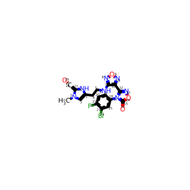 CN1C=C(CCNc2nonc2-c2noc(=O)n2-c2ccc(F)c(Br)c2)NC1=C=O